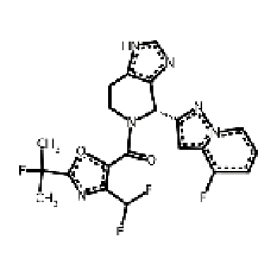 CC(C)(F)c1nc(C(F)F)c(C(=O)N2CCc3[nH]cnc3[C@@H]2c2cc3c(F)cccn3n2)o1